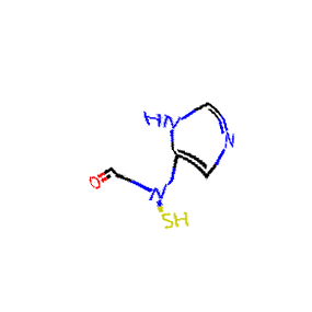 O=CN(S)c1cnc[nH]1